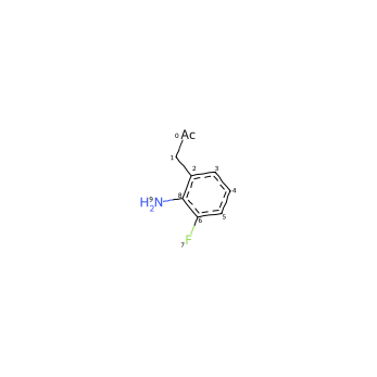 CC(=O)Cc1cccc(F)c1N